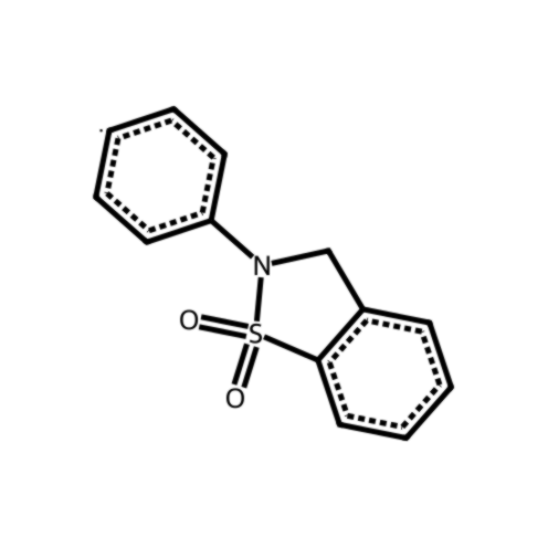 O=S1(=O)c2ccccc2CN1c1cc[c]cc1